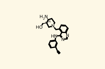 C#Cc1cccc(Nc2ncnc3cccc(CN4CC[C@@H](N)[C@H](CO)C4)c23)c1